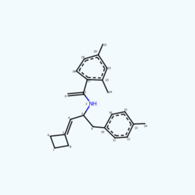 C=C(NC(C=C1CCC1)Cc1ccc(C)cc1)c1ccc(C)cc1C